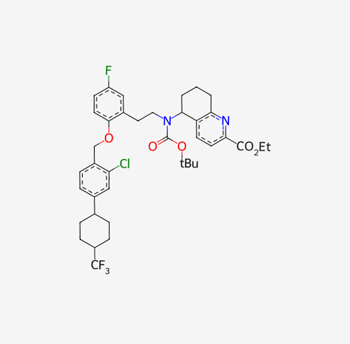 CCOC(=O)c1ccc2c(n1)CCCC2N(CCc1cc(F)ccc1OCc1ccc(C2CCC(C(F)(F)F)CC2)cc1Cl)C(=O)OC(C)(C)C